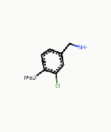 COc1ccc(C[NH])cc1Cl